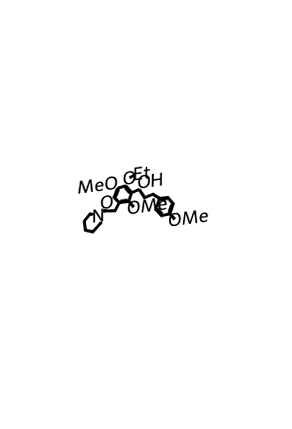 CCOc1c(OC)c2c(c(OC)c1C(O)CCc1ccc(OC)cc1)CC(N1CCCCC1)O2